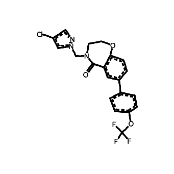 O=C1c2cc(-c3ccc(OC(F)(F)F)cc3)ccc2OCCN1Cn1cc(Cl)cn1